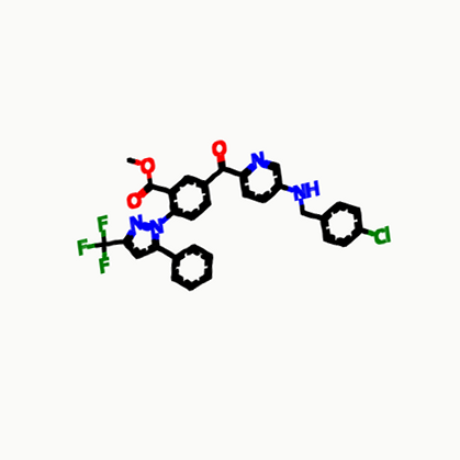 COC(=O)c1cc(C(=O)c2ccc(NCc3ccc(Cl)cc3)cn2)ccc1-n1nc(C(F)(F)F)cc1-c1ccccc1